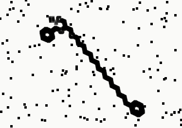 CCC(COCCCCCCCCCCCCCCCCc1ccccc1)OCc1ccccc1